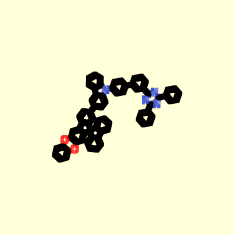 c1ccc(-c2nc(-c3ccccc3)nc(-c3cccc(-c4ccc(-n5c6ccccc6c6cc(-c7ccc8c(c7)C7(c9ccccc9-c9ccccc97)c7cc9c(cc7-8)Oc7ccccc7O9)ccc65)cc4)c3)n2)cc1